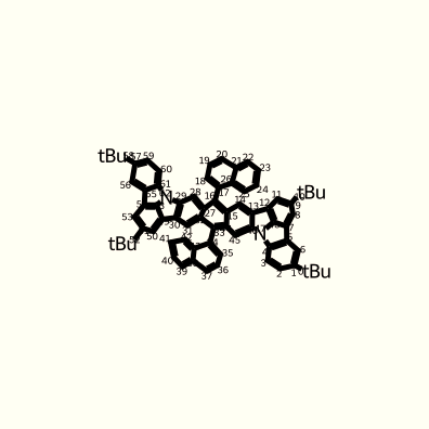 CC(C)(C)c1ccc2c(c1)c1cc(C(C)(C)C)cc3c4cc5c(-c6cccc7ccccc67)c6cc7c(cc6c(-c6cccc8ccccc68)c5cc4n2c13)c1cc(C(C)(C)C)cc2c3cc(C(C)(C)C)ccc3n7c21